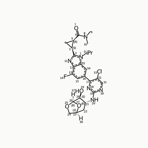 CC(C)n1c([C@H]2C[C@H]2C(=O)N(C)C)nc2c(F)cc(-c3nc(N[C@@H]4C[C@H]5CO[C@H](O5)[C@H]4O)ncc3Cl)cc21